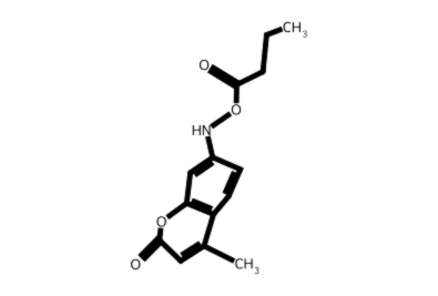 CCCC(=O)ONc1ccc2c(C)cc(=O)oc2c1